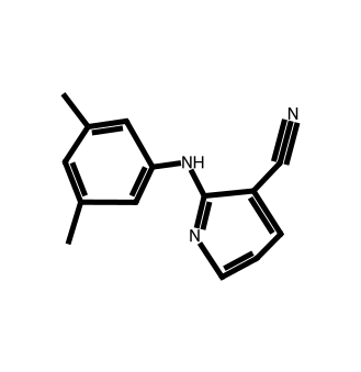 Cc1cc(C)cc(Nc2ncccc2C#N)c1